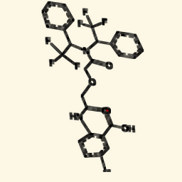 O=C(COCC(=O)N(C(c1ccccc1)C(F)(F)F)C(c1ccccc1)C(F)(F)F)Nc1ccc(Cl)cc1C(=O)O